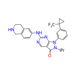 CC(C)n1c(=O)c2cnc(Nc3ccc4c(c3)CCNC4)nc2n1-c1cccc(C2(C(F)(F)F)CC2)c1